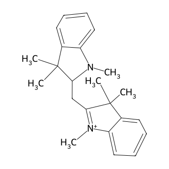 CN1c2ccccc2C(C)(C)C1CC1=[N+](C)c2ccccc2C1(C)C